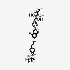 O=C(Cc1c(F)cc(OCCCC2CCN(C(=O)OC3(C(F)(F)F)COC3)CC2)cc1F)N1CCN(C[C@H](O)[C@@H](O)[C@H](O)[C@H](O)CO)CC1